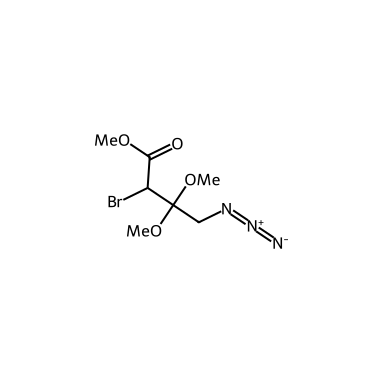 COC(=O)C(Br)C(CN=[N+]=[N-])(OC)OC